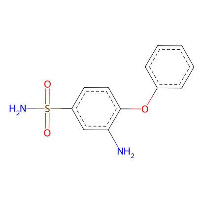 Nc1cc(S(N)(=O)=O)ccc1Oc1ccccc1